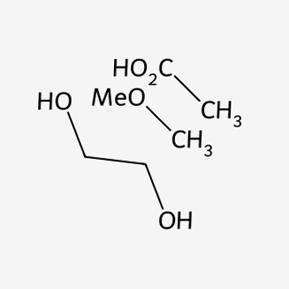 CC(=O)O.COC.OCCO